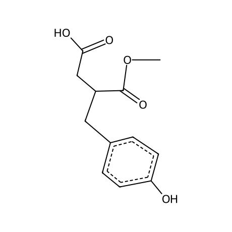 COC(=O)C(CC(=O)O)Cc1ccc(O)cc1